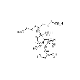 CCCCCCCCCCCCCCCCCC(=O)O.O=C(O)CC(O)(CC(=O)O)C(=O)O.OCC(O)CO.OCCO